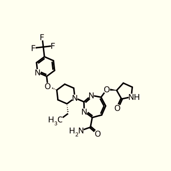 CC[C@@H]1C[C@H](Oc2ccc(C(F)(F)F)cn2)CCN1C1=NC(O[C@H]2CCNC2=O)=C=CC(C(N)=O)=N1